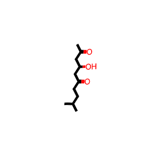 CC(=O)CC(O)CC(=O)CCC(C)C